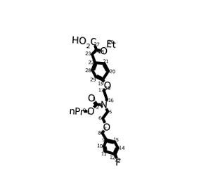 CCCOC(=O)N(CCOCc1ccc(F)cc1)CCOc1ccc(CC(OCC)C(=O)O)cc1